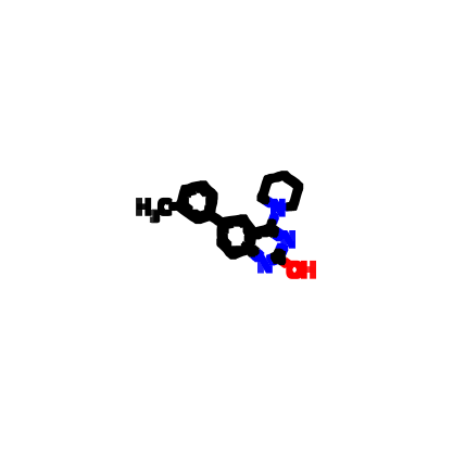 Cc1cccc(-c2ccc3nc(O)nc(N4CCCCC4)c3c2)c1